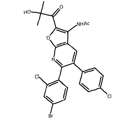 CC(=O)Nc1c(C(=O)C(C)(C)O)oc2nc(-c3ccc(Br)cc3Cl)c(-c3ccc(Cl)cc3)cc12